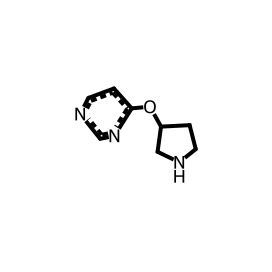 c1cc(OC2CCNC2)ncn1